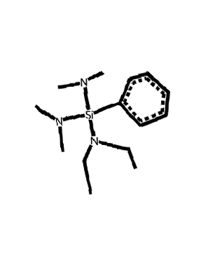 CCN(CC)[Si](c1ccccc1)(N(C)C)N(C)C